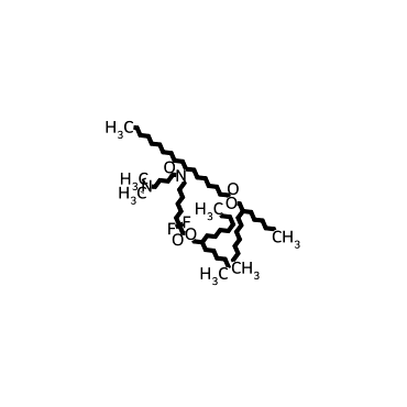 CCCCCCCCCCC(CCCCCCC(=O)OCC(CCCCCC)CCCCCCCC)N(CCCCCCC(F)(F)C(=O)OCC(CCCCCC)CCCCCCCC)C(=O)CCCN(C)C